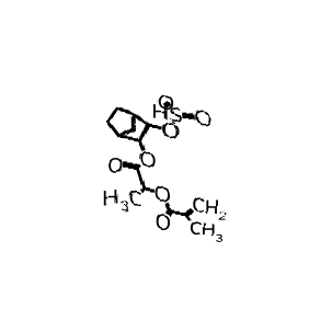 C=C(C)C(=O)OC(C)C(=O)OC1C2CCC(C2)C1O[SH](=O)=O